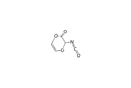 O=C=NC1OC=COC1=O